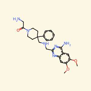 COc1cc2nc(CNCC3(c4ccccc4)CCN(C(=O)CN)CC3)nc(N)c2cc1OC